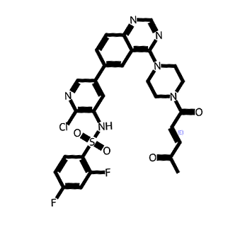 CC(=O)/C=C/C(=O)N1CCN(c2ncnc3ccc(-c4cnc(Cl)c(NS(=O)(=O)c5ccc(F)cc5F)c4)cc23)CC1